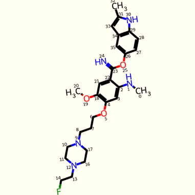 CNc1cc(OCCCN2CCN(CCF)CC2)c(OC)cc1C(=N)Oc1ccc2[nH]c(C)cc2c1